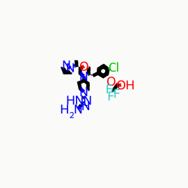 CC([C@H]1CN(C2CCN(c3nnc(N)[nH]3)CC2)[C@@H](Cc2ccc(Cl)cc2)CO1)n1cccn1.O=C(O)C(F)(F)F